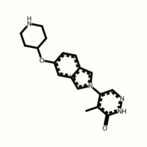 Cc1c(-n2cc3ccc(OC4CCNCC4)cc3c2)cn[nH]c1=O